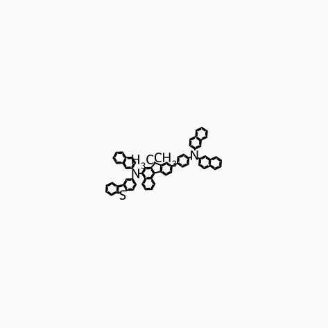 CC1(C)c2cc(-c3ccc(N(c4ccc5ccccc5c4)c4ccc5ccccc5c4)cc3)ccc2-c2c1cc(N(c1ccc3ccccc3c1)c1ccc3sc4ccccc4c3c1)c1ccccc21